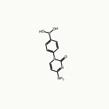 Nc1ccn(-c2ccc(B(O)O)cc2)c(=O)n1